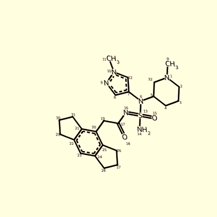 CN1CCCC(N(c2cnn(C)c2)S(N)(=O)=NC(=O)Cc2c3c(cc4c2CCC4)CCC3)C1